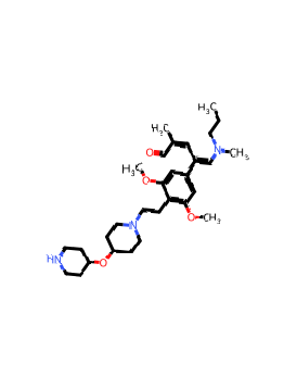 CCCN(C)/C=C(\C=C(\C)C=O)c1cc(OC)c(CCN2CCC(OC3CCNCC3)CC2)c(OC)c1